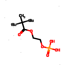 CC(C)(C)C(C)(C(=O)OCCOP(=O)(O)O)C(C)(C)C